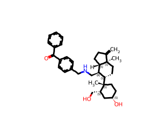 C=C1CC[C@H]2[C@H](CNCc3ccc(C(=O)c4ccccc4)cc3)[C@@H]([C@]3(C)CC[C@H](O)C[C@@H]3CO)CC[C@]12C